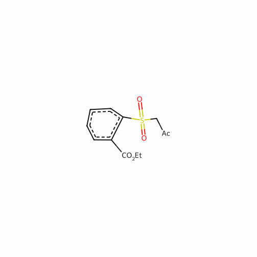 CCOC(=O)c1ccccc1S(=O)(=O)CC(C)=O